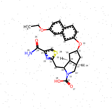 CCOc1ccc2ccc(O[C@H]3C[C@H]4CN(C(=O)O)C(Cc5nc(C(N)=O)cs5)[C@H]4C3)cc2c1